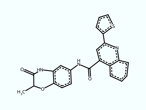 CC1Oc2ccc(NC(=O)c3cc(-c4cccs4)nc4ccccc34)cc2NC1=O